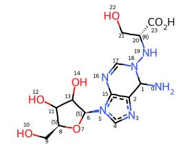 NC1c2ncn([C@H]3O[C@@H](CO)C(O)C3O)c2N=CN1N[C@H](CO)C(=O)O